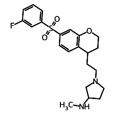 CNC1CCN(CCC2CCOc3cc(S(=O)(=O)c4cccc(F)c4)ccc32)C1